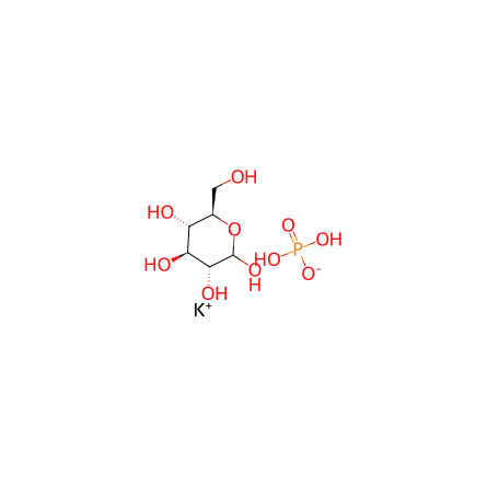 O=P([O-])(O)O.OC[C@H]1OC(O)[C@H](O)[C@@H](O)[C@@H]1O.[K+]